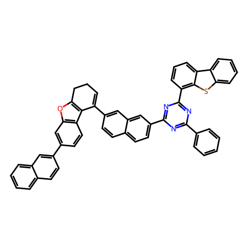 C1=C(c2ccc3ccc(-c4nc(-c5ccccc5)nc(-c5cccc6c5sc5ccccc56)n4)cc3c2)c2c(oc3cc(-c4ccc5ccccc5c4)ccc23)CC1